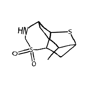 CC1C2CC3C(S2)C1NS3(=O)=O